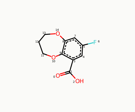 O=C(O)c1cc(F)cc2c1OCCCO2